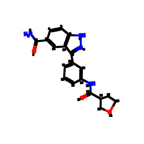 NC(=O)c1ccc2[nH]nc(-c3cccc(NC(=O)C4CCOC4)c3)c2c1